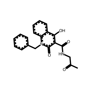 CC(=O)CNC(=O)c1c(O)c2ccccc2n(Cc2ccccc2)c1=O